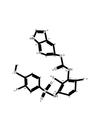 COc1ccc(S(=O)(=O)Nc2ccc(F)c(NC(=O)Oc3cnc4[nH]cnc4c3)c2F)cc1F